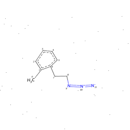 Cc1ccccc1CCN=[N+]=[N-]